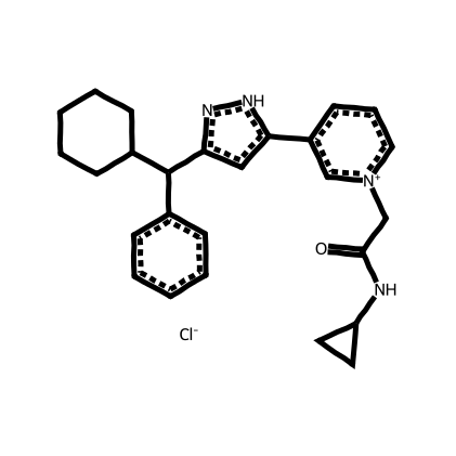 O=C(C[n+]1cccc(-c2cc(C(c3ccccc3)C3CCCCC3)n[nH]2)c1)NC1CC1.[Cl-]